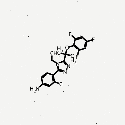 CCn1c(-c2ccc(N)cc2Cl)nnc1C(C)(C)Oc1c(F)cc(F)cc1F